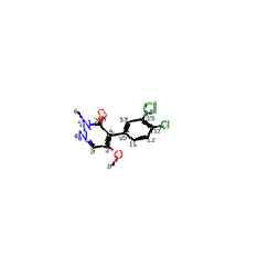 COc1cnn(C)c(=O)c1-c1ccc(Cl)c(Cl)c1